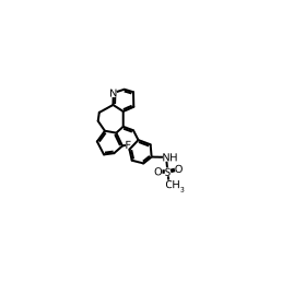 CS(=O)(=O)Nc1cccc(/C=C2/c3cccnc3CCc3cccc(F)c32)c1